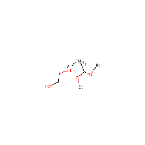 CC(C)=O.CCOC(C)OCC.OCCO